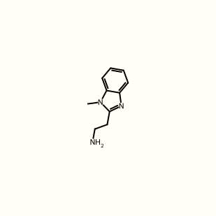 Cn1c(CCN)nc2ccccc21